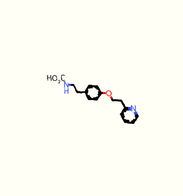 O=C(O)NCCc1ccc(OCCc2ccccn2)cc1